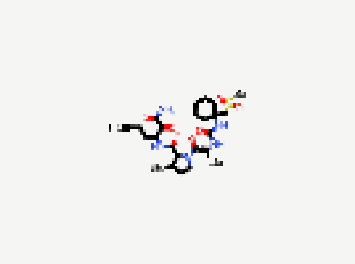 C#CCCC(NC(=O)C1C(C(C)(C)C)CCN1C(=O)[C@@H](NC(=O)NC1(CS(=O)(=O)C(C)(C)C)CCCCC1)C(C)(C)C)C(=O)C(N)=O